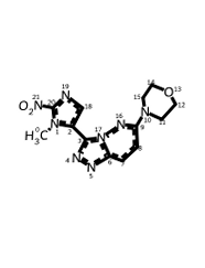 Cn1c(-c2nnc3ccc(N4CCOCC4)nn23)cnc1[N+](=O)[O-]